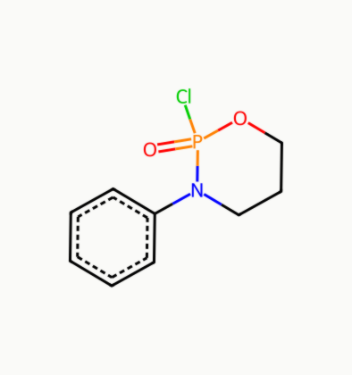 O=P1(Cl)OCCCN1c1ccccc1